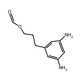 Nc1cc(N)cc(CCCOC=O)c1